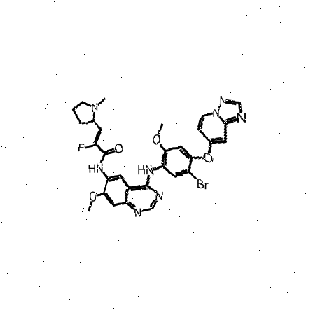 COc1cc2ncnc(Nc3cc(Br)c(Oc4ccn5ncnc5c4)cc3OC)c2cc1NC(=O)/C(F)=C/[C@H]1CCCN1C